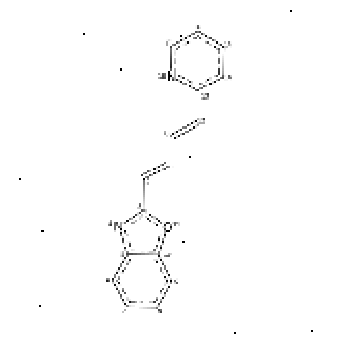 C(/C=C/c1nc2ccccc2o1)=C\c1ccccn1